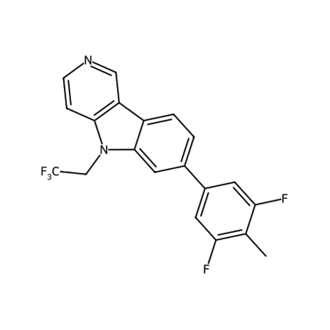 Cc1c(F)cc(-c2ccc3c4cnccc4n(CC(F)(F)F)c3c2)cc1F